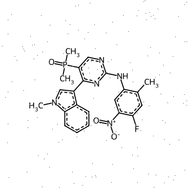 Cc1cc(F)c([N+](=O)[O-])cc1Nc1ncc(P(C)(C)=O)c(-c2cn(C)c3ccccc23)n1